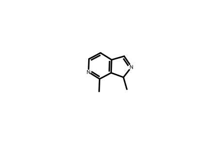 Cc1nccc2c1C(C)N=C2